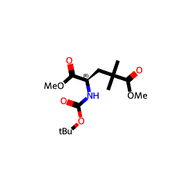 COC(=O)[C@@H](CC(C)(C)C(=O)OC)NC(=O)OC(C)(C)C